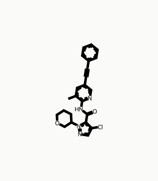 Cc1cc(C#Cc2ccccc2)cnc1NC(=O)c1c(Cl)cnn1C1CCCOC1